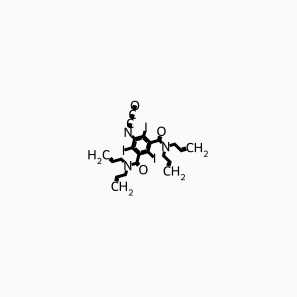 C=CCN(CC=C)C(=O)c1c(I)c(N=C=C=O)c(I)c(C(=O)N(CC=C)CC=C)c1I